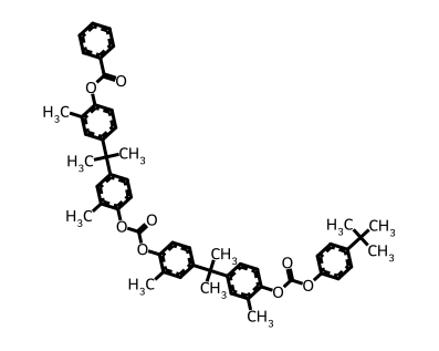 Cc1cc(C(C)(C)c2ccc(OC(=O)Oc3ccc(C(C)(C)c4ccc(OC(=O)c5ccccc5)c(C)c4)cc3C)c(C)c2)ccc1OC(=O)Oc1ccc(C(C)(C)C)cc1